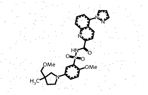 COCC1(C)CCN(c2ccc(OC)c(S(=O)(=O)NC(=O)c3ccc4c(-n5cccn5)cccc4n3)c2)C1